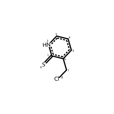 S=c1[nH]cccc1CCl